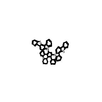 Fc1ccccc1-c1c(-n2c3ccccc3c3c4sc5ccccc5c4ccc32)cc(-n2c3ccccc3c3c4sc5ccccc5c4ccc32)c(-c2ccccc2F)c1C1CCCCC1